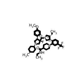 CCNC(=O)C1CCN(c2cc(C(F)(F)F)ccc2[C@H]2CN(C(=O)[C@]3(F)CN([C@H]4CC[C@H](C)CC4)C[C@H]3c3ccc(OC)cc3)C[C@@H]2CC)CC1